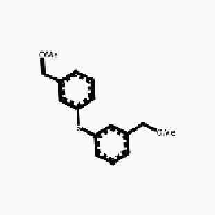 COCc1cccc(Sc2cccc(COC)c2)c1